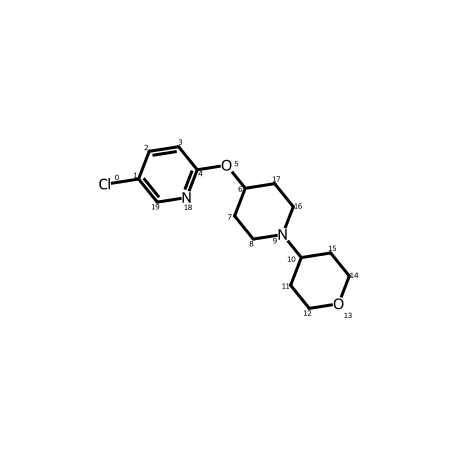 Clc1ccc(OC2CCN(C3CCOCC3)CC2)nc1